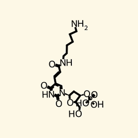 NCCCCCCNC(=O)/C=C/c1cn([C@H]2C[C@@H](OP(=O)(O)O)C(CO)O2)c(=O)[nH]c1=O